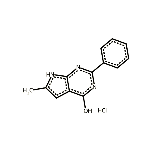 Cc1cc2c(O)nc(-c3ccccc3)nc2[nH]1.Cl